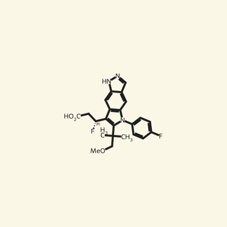 COCC(C)(C)c1c([C@H](F)CC(=O)O)c2cc3[nH]ncc3cc2n1-c1ccc(F)cc1